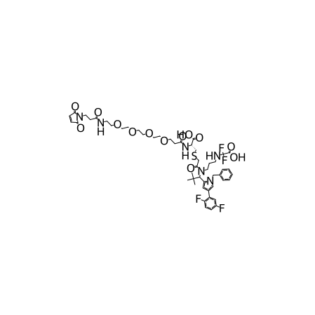 CC(C)(C)[C@H](c1cc(-c2cc(F)ccc2F)cn1Cc1ccccc1)N(CCCNC(F)(F)C(=O)O)C(=O)CSC[C@H](NC(=O)CCOCCOCCOCCOCCNC(=O)CCN1C(=O)C=CC1=O)C(=O)O